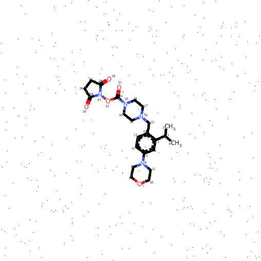 CC(C)c1cc(N2CCOCC2)ccc1CN1CCN(C(=O)ON2C(=O)CCC2=O)CC1